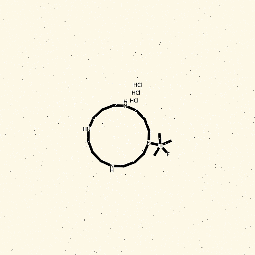 Cl.Cl.Cl.[CH3][Ti]([CH3])([CH3])([F])[N]1CCCNCCCNCCCNCCC1